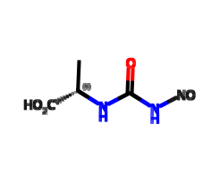 C[C@H](NC(=O)NN=O)C(=O)O